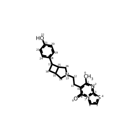 Cc1nc2sccn2c(=O)c1CCN1CC2CC(c3ccc(O)cc3)C2C1